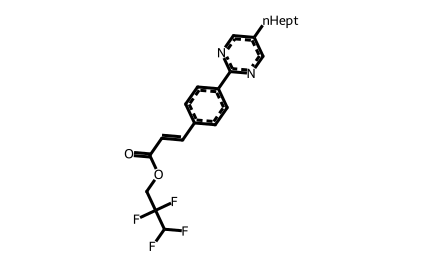 CCCCCCCc1cnc(-c2ccc(C=CC(=O)OCC(F)(F)C(F)F)cc2)nc1